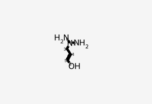 NN(N)CC=CO